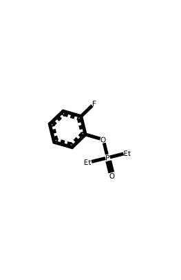 CCP(=O)(CC)Oc1ccccc1F